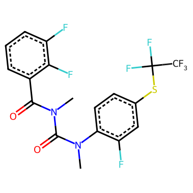 CN(C(=O)c1cccc(F)c1F)C(=O)N(C)c1ccc(SC(F)(F)C(F)(F)F)cc1F